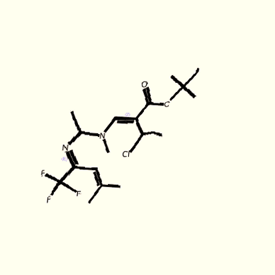 CC(C)=C/C(=N\C(C)N(C)/C=C(/C(=O)OC(C)(C)C)C(C)Cl)C(F)(F)F